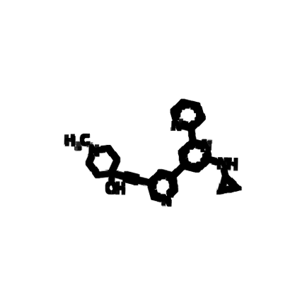 CN1CCC(O)(C#Cc2cncc(-c3cc(NC4CC4)nc(-c4ccccn4)c3)c2)CC1